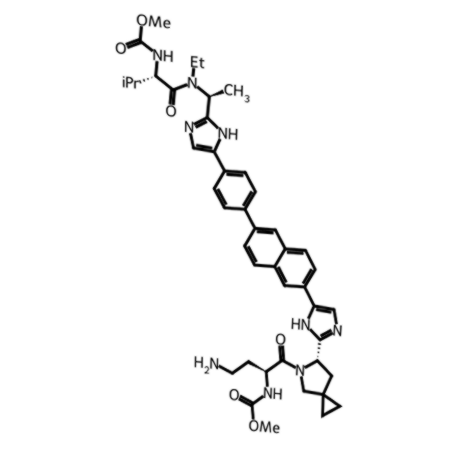 CCN(C(=O)[C@@H](NC(=O)OC)C(C)C)[C@@H](C)c1ncc(-c2ccc(-c3ccc4cc(-c5cnc([C@@H]6CC7(CC7)CN6C(=O)[C@H](CCN)NC(=O)OC)[nH]5)ccc4c3)cc2)[nH]1